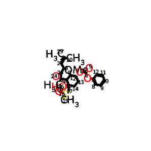 COC1C(OC(=O)Oc2ccccc2)CCC(O)(C[S+](C)[O-])C1C1(C)OC1CC=C(C)C